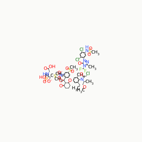 CCc1cccc(C)c1N(C(=O)CCl)C(C)COC.CS(=O)(=O)c1ccc(C(=O)C2C(=O)CCCC2=O)c([N+](=O)[O-])c1.C[S+](C)C.Cc1nn(-c2cc(NS(C)(=O)=O)c(Cl)cc2Cl)c(=O)n1C(F)F.O=C(O)CNCP(=O)([O-])O